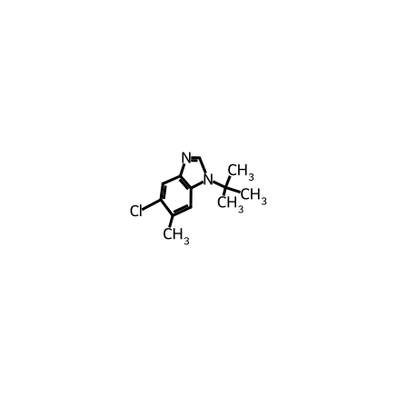 Cc1cc2c(cc1Cl)ncn2C(C)(C)C